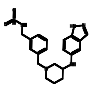 O=[SH](=O)NCc1cccc(CN2CCCC(Nc3ccc4[nH]ncc4c3)C2)c1